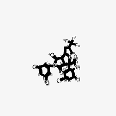 O=C1C2C3CC(C(F)(F)F)CN3C3(C(=O)Nc4c(Cl)cc(Cl)cc43)C2C(=O)N1c1cc(Cl)cc(Cl)c1